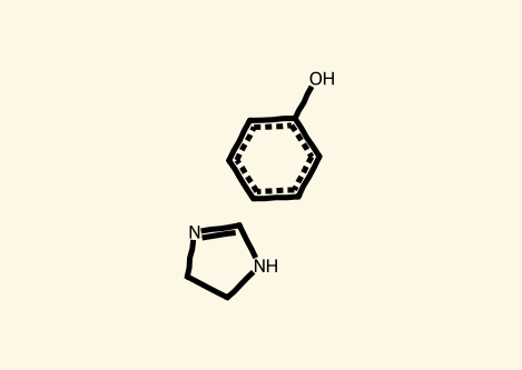 C1=NCCN1.Oc1ccccc1